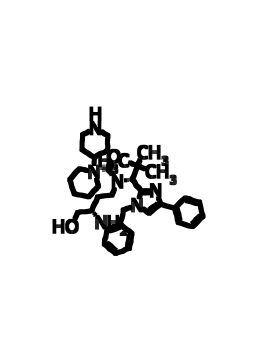 CC(C)(C)[C@H](c1nc(-c2ccccc2)cn1Cc1ccccc1)N(CC[C@H](N)CO)C(=O)[N+]1(C2CCNCC2)CCCCC1